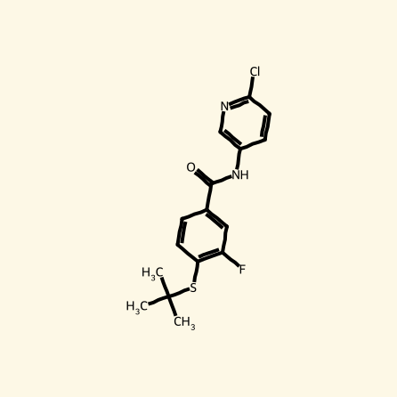 CC(C)(C)Sc1ccc(C(=O)Nc2ccc(Cl)nc2)cc1F